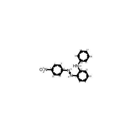 O=[N+]([O-])c1ccc(N=Nc2ccccc2Nc2ccccc2)cc1